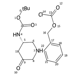 CC(C)(C)OC(=O)N[C@@H]1CNCC(=O)C1.O=C(Cl)OCc1ccccc1